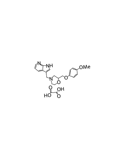 COc1ccc(OCC2CN(Cc3c[nH]c4ncccc34)CCO2)cc1.O=C(O)C(=O)O